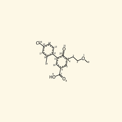 COCCn1cc(C(=O)O)cc(-c2ccc(Cl)cc2C)c1=O